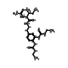 CCOC(=O)Oc1ccc(CCNC(=O)[C@@H](NC(C)=O)[C@@H](C)CC)cc1OC(=O)OCC